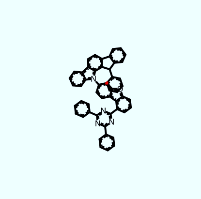 c1ccc(-c2nc(-c3ccccc3)nc(-c3cccc4oc5cc(-n6c7ccccc7c7ccc8c(c76)C(c6ccccc6)c6ccccc6-8)ccc5c34)n2)cc1